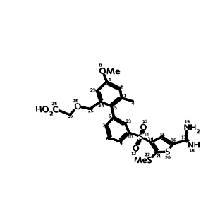 COc1cc(C)c(-c2cccc(S(=O)(=O)c3cc(C(=N)N)sc3SC)c2)c(COCC(=O)O)c1